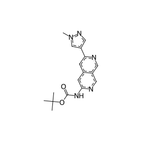 Cn1cc(-c2cc3cc(NC(=O)OC(C)(C)C)ncc3cn2)cn1